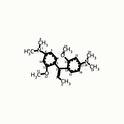 CC=C(c1ccc(N(C)C)cc1OC)c1ccc(N(C)C)cc1OC